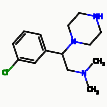 CN(C)CC(c1cccc(Cl)c1)N1CCNCC1